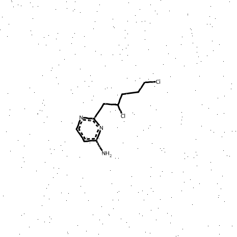 Nc1ccnc(CC(Cl)CCCCl)n1